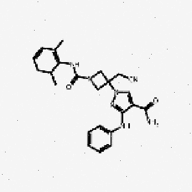 CC1=C(NC(=O)N2CC(CC#N)(n3cc(C(N)=O)c(Nc4ccccc4)n3)C2)C(C)CC=C1